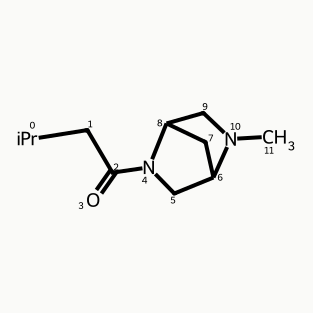 CC(C)CC(=O)N1CC2CC1CN2C